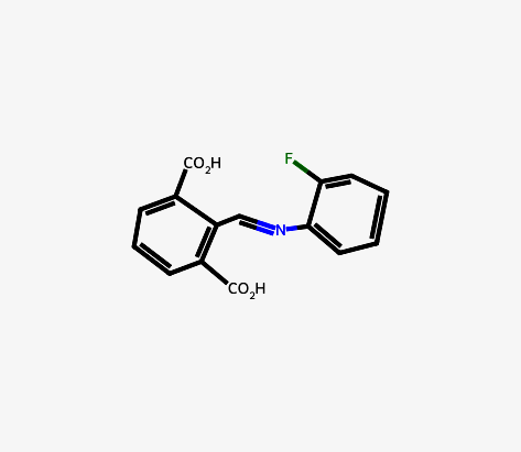 O=C(O)c1cccc(C(=O)O)c1C=Nc1ccccc1F